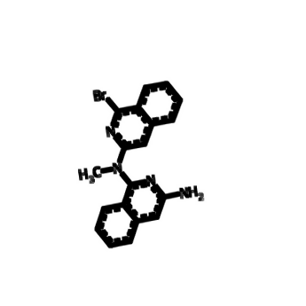 CN(c1cc2ccccc2c(Br)n1)c1nc(N)cc2ccccc12